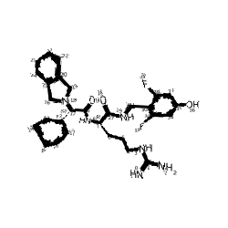 N=C(N)NCCC[C@@H](NC(=O)[C@H](c1ccccc1)N1Cc2ccccc2C1)C(=O)NCc1c(F)cc(O)cc1F